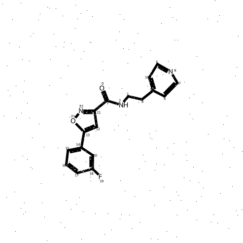 O=C(NCCc1ccncc1)c1cc(-c2cccc(F)c2)on1